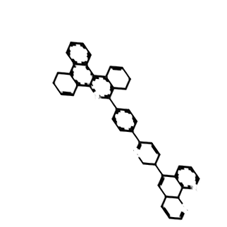 C1=CC2C=C(C3C=CC(c4ccc(-c5nc6c7c(c8ccccc8c6c6c5CCC=C6)CCC=C7)cc4)=NC3)c3cccnc3C2N=C1